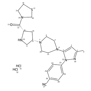 Cc1cc(N2CCN([C@@H]3CN[C@H](C(=O)N4CCSC4)C3)CC2)n(-c2ccc(C#N)cc2)n1.Cl.Cl